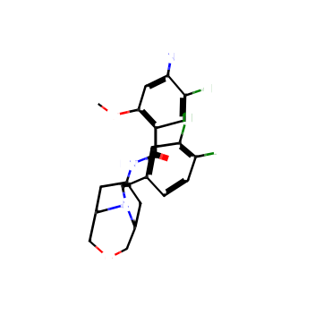 COc1cc(N)c(Cl)cc1C(=O)NC1CC2COCC(C1)N2Cc1ccc(Cl)c(Cl)c1